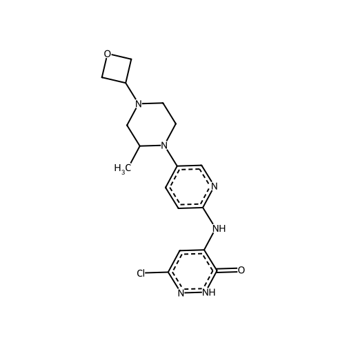 CC1CN(C2COC2)CCN1c1ccc(Nc2cc(Cl)n[nH]c2=O)nc1